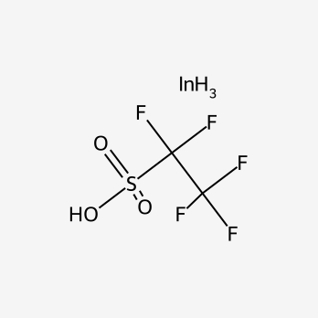 O=S(=O)(O)C(F)(F)C(F)(F)F.[InH3]